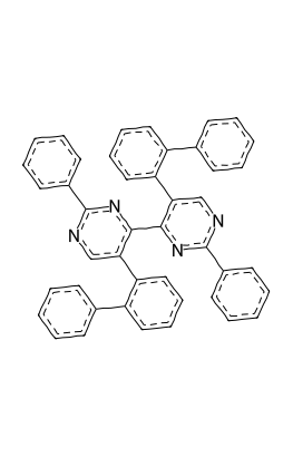 c1ccc(-c2ncc(-c3ccccc3-c3ccccc3)c(-c3nc(-c4ccccc4)ncc3-c3ccccc3-c3ccccc3)n2)cc1